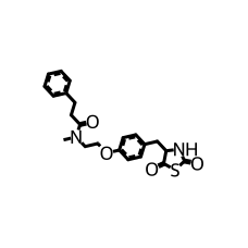 CN(CCOc1ccc(CC2NC(=O)SC2=O)cc1)C(=O)CCc1ccccc1